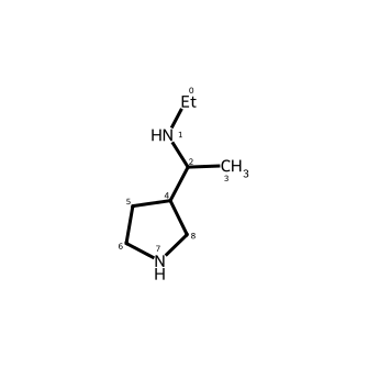 CCNC(C)C1CCNC1